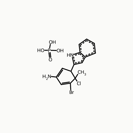 CC1(Cl)C(Br)=CC(N)=CC1c1cc2ccccc2[nH]1.O=P(O)(O)O